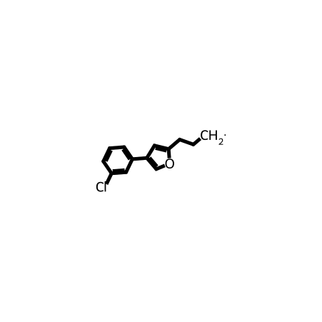 [CH2]CCc1cc(-c2cccc(Cl)c2)co1